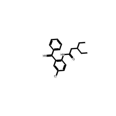 CCC(CC)CC(=O)Nc1ccc(Cl)cc1C(=N)c1ccccc1